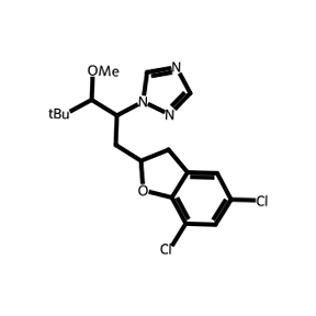 COC(C(CC1Cc2cc(Cl)cc(Cl)c2O1)n1cncn1)C(C)(C)C